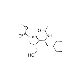 CCC(CC)C[C@H](NC(C)=O)[C@@H]1C=C(C(=O)OC)C[C@H]1CO